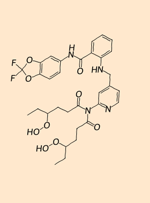 CCC(CCC(=O)N(C(=O)CCC(CC)OO)c1cc(CNc2ccccc2C(=O)Nc2ccc3c(c2)OC(F)(F)O3)ccn1)OO